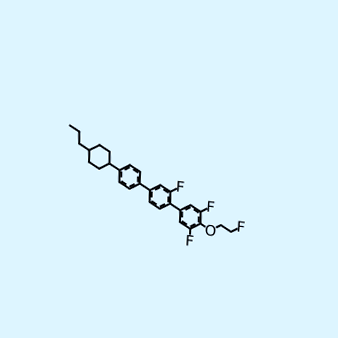 CCCC1CCC(c2ccc(-c3ccc(-c4cc(F)c(OCCF)c(F)c4)c(F)c3)cc2)CC1